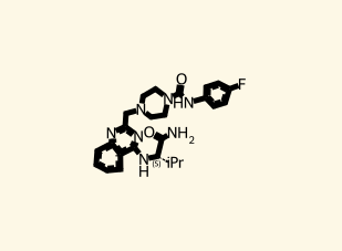 CC(C)[C@H](Nc1nc(CN2CCN(C(=O)Nc3ccc(F)cc3)CC2)nc2ccccc12)C(N)=O